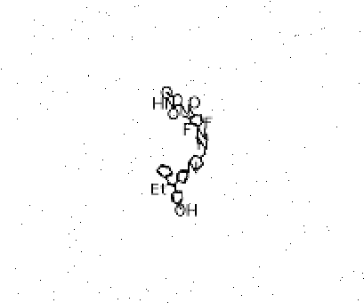 CCC(=C(c1ccc(O)cc1)c1ccc(N2CCC(CN3CCN(c4c(F)cc5c(c4F)CN(C4CCC(=O)NC4=O)C5=O)CC3)CC2)cc1)c1ccccc1